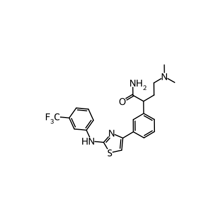 CN(C)CCC(C(N)=O)c1cccc(-c2csc(Nc3cccc(C(F)(F)F)c3)n2)c1